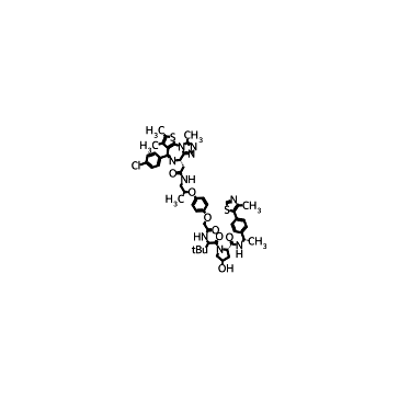 Cc1ncsc1-c1ccc([C@H](C)NC(=O)[C@@H]2C[C@@H](O)CN2C(=O)C(NC(=O)COc2ccc(O[C@@H](C)CNC(=O)C[C@@H]3N=C(c4ccc(Cl)cc4)c4c(sc(C)c4C)-n4c(C)nnc43)cc2)C(C)(C)C)cc1